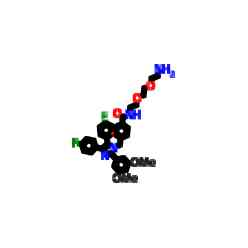 COc1cc(OC)cc(-c2nc(-c3ccc(F)cc3)c(-c3ccc(F)cc3)n2Cc2ccc(C(=O)NCCOCCOCCN)cc2)c1